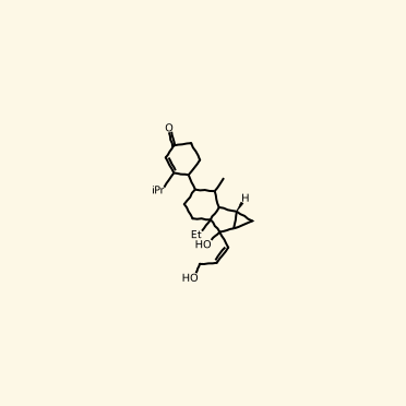 CCC12CCC(C3CCC(=O)C=C3C(C)C)C(C)C1[C@@H]1CC1C2(O)/C=C\CO